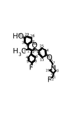 CC1=C(c2ccc(F)cc2)[C@H](c2ccc(OCCN3CC(CF)C3)cc2)Oc2ccc(O)cc21